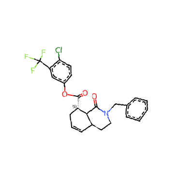 O=C(Oc1ccc(Cl)c(C(F)(F)F)c1)[C@H]1CC=CC2CCN(Cc3ccccc3)C(=O)C21